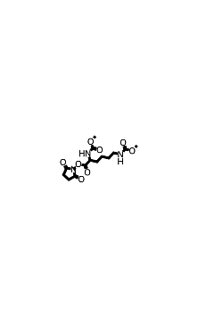 COC(=O)NCCCCC(NC(=O)OC)C(=O)ON1C(=O)CCC1=O